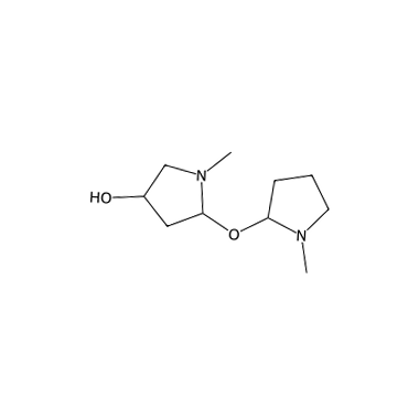 CN1CCCC1OC1CC(O)CN1C